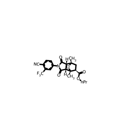 CCCOC(=O)[C@@H]1C[C@]2(C)O[C@@]1(C)[C@@H]1C(=O)N(c3ccc(C#N)c(C(F)(F)F)c3)C(=O)[C@@H]12